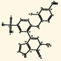 CCS(=N)(=O)c1ccc(Oc2ccc(OC)cc2F)c(-c2cn(C)c(=O)c3[nH]ccc23)c1